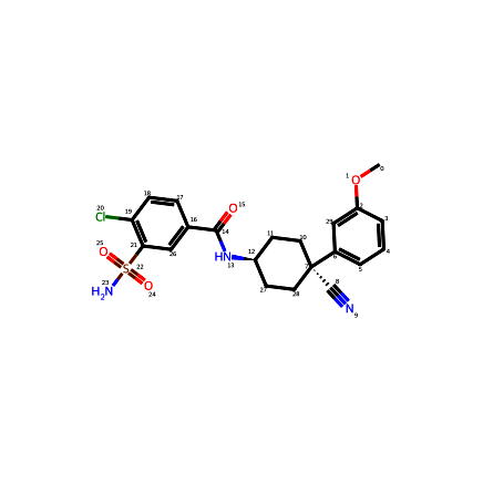 COc1cccc([C@]2(C#N)CC[C@H](NC(=O)c3ccc(Cl)c(S(N)(=O)=O)c3)CC2)c1